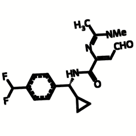 CN/C(C)=N\C(=C/C=O)C(=O)N[C@@H](c1ccc(C(F)F)cc1)C1CC1